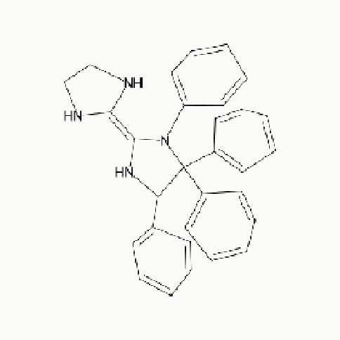 c1ccc(C2NC(=C3NCCN3)N(c3ccccc3)C2(c2ccccc2)c2ccccc2)cc1